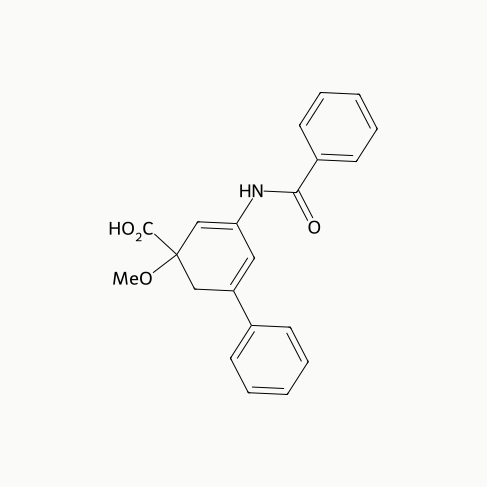 COC1(C(=O)O)C=C(NC(=O)c2ccccc2)C=C(c2ccccc2)C1